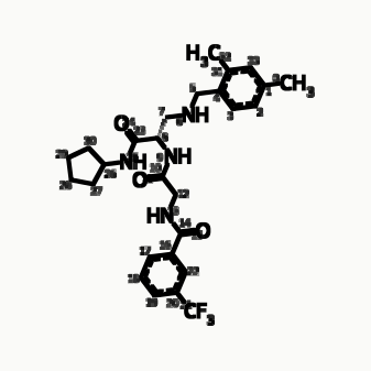 Cc1ccc(CNC[C@H](NC(=O)CNC(=O)c2cccc(C(F)(F)F)c2)C(=O)NC2CCCC2)c(C)c1